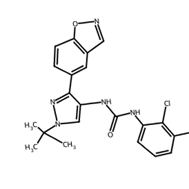 CC(C)(C)n1cc(NC(=O)Nc2cccc(Cl)c2Cl)c(-c2ccc3oncc3c2)n1